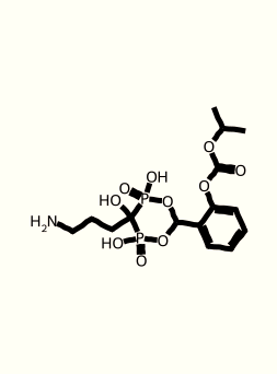 CC(C)OC(=O)Oc1ccccc1C1OP(=O)(O)C(O)(CCCN)P(=O)(O)O1